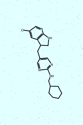 Clc1cnc2c(c1)C(Cc1cnc(NCC3CCCCC3)nc1)CN2